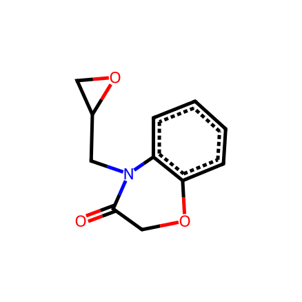 O=C1COc2ccccc2N1CC1CO1